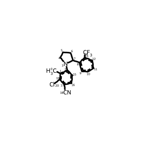 Cc1c(N2CCCC2c2ccccc2C(F)(F)F)ccc(C#N)c1Cl